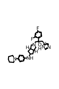 OC(CN1C[C@H]2CC(Nc3ccc(N4CCCCC4)cc3)C[C@H]2C1)(Cn1cncn1)c1ccc(F)cc1F